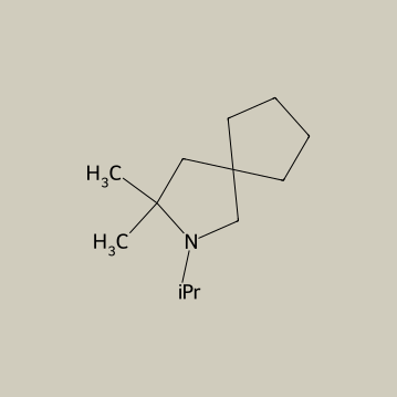 CC(C)N1CC2(CCCC2)CC1(C)C